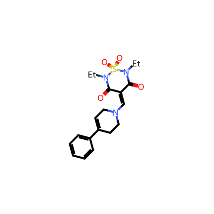 CCN1C(=O)C(=CN2CC=C(c3ccccc3)CC2)C(=O)N(CC)S1(=O)=O